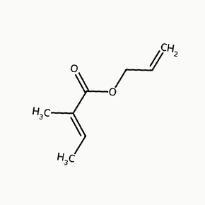 C=CCOC(=O)C(C)=CC